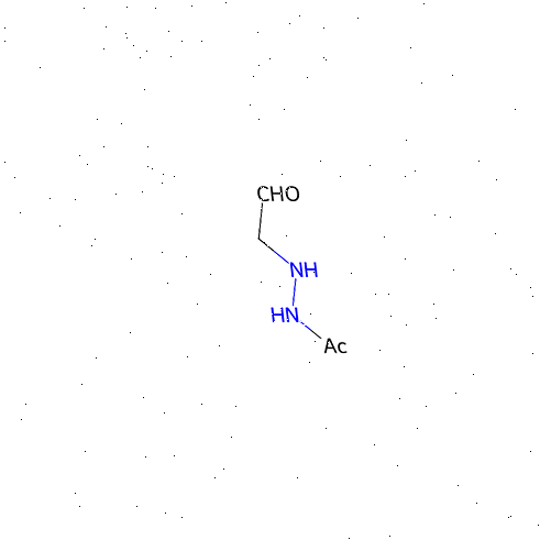 CC(=O)NNCC=O